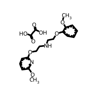 COc1cccc(OCCNCCOc2ccccc2OC)n1.O=C(O)C(=O)O